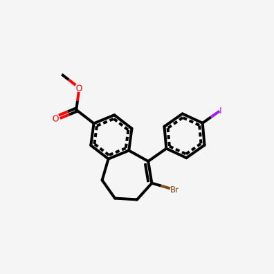 COC(=O)c1ccc2c(c1)CCCC(Br)=C2c1ccc(I)cc1